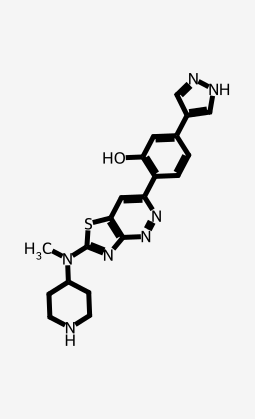 CN(c1nc2nnc(-c3ccc(-c4cn[nH]c4)cc3O)cc2s1)C1CCNCC1